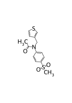 CC(=O)N(Cc1ccsc1)c1ccc(S(C)(=O)=O)cc1